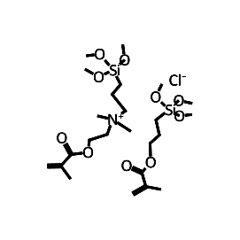 C=C(C)C(=O)OCCC[Si](OC)(OC)OC.C=C(C)C(=O)OCC[N+](C)(C)CCC[Si](OC)(OC)OC.[Cl-]